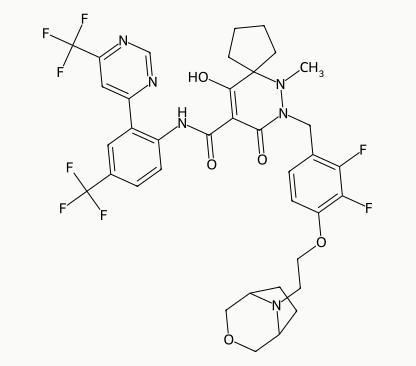 CN1N(Cc2ccc(OCCN3C4CCC3COC4)c(F)c2F)C(=O)C(C(=O)Nc2ccc(C(F)(F)F)cc2-c2cc(C(F)(F)F)ncn2)=C(O)C12CCCC2